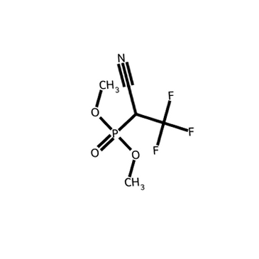 COP(=O)(OC)C(C#N)C(F)(F)F